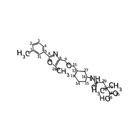 Cc1cccc(-c2nc(COCC3CCCC(NC(=O)CC(C)(C)C(=O)O)C3)c(C)o2)c1